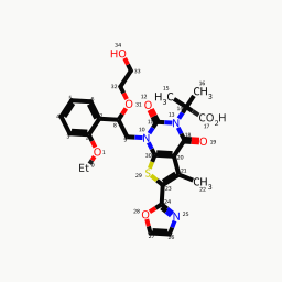 CCOc1ccccc1C(Cn1c(=O)n(C(C)(C)C(=O)O)c(=O)c2c(C)c(-c3ncco3)sc21)OCCO